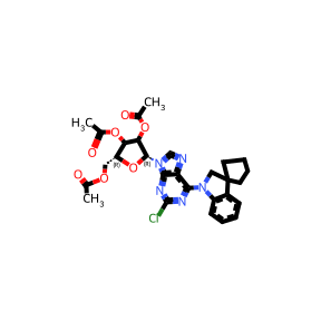 CC(=O)OC[C@H]1O[C@@H](n2cnc3c(N4CC5(CCCC5)c5ccccc54)nc(Cl)nc32)C(OC(C)=O)C1OC(C)=O